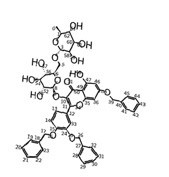 C[C@@H]1O[C@@H](OC[C@H]2O[C@@H](Oc3c(-c4ccc(OCc5ccccc5)c(OCc5ccccc5)c4)oc4cc(OCc5ccccc5)cc(O)c4c3=O)[C@H](O)[C@@H](O)[C@@H]2O)[C@H](O)[C@H](O)[C@H]1O